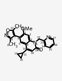 COc1cc2c(cc1-c1c(C)noc1C)c(C1CC1)cc(=O)n2Cc1ccccn1